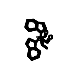 C[CH]=[Zr]([CH]=O)([CH]=O)([CH]1C=Cc2ccccc21)[CH]1C=Cc2ccccc21